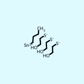 CCC[CH2][Sn+3].OCC[S-].OCC[S-].OCC[S-]